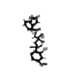 COc1ccc(C(C)(C)CC(O)(CNc2cccc3[nH]ncc23)C(F)(F)F)c(F)c1